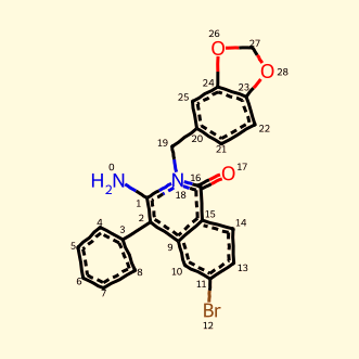 Nc1c(-c2ccccc2)c2cc(Br)ccc2c(=O)n1Cc1ccc2c(c1)OCO2